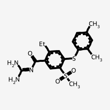 CCc1cc(Sc2ccc(C)cc2C)c(S(C)(=O)=O)cc1C(=O)N=C(N)N